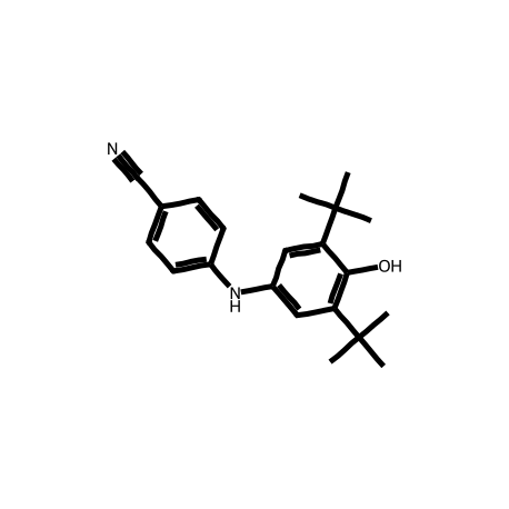 CC(C)(C)c1cc(Nc2ccc(C#N)cc2)cc(C(C)(C)C)c1O